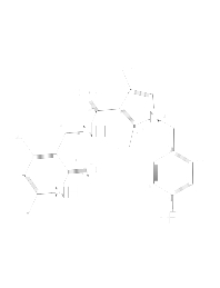 Cc1cc(C)c(CNC(=O)c2c(C)cn(Cc3ccc(F)cc3)c2C)c(=O)[nH]1